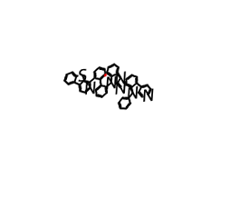 c1ccc(-n2c3cnccc3c3ccc4c(nc5n(-c6ccccc6-c6ccccc6-c6nccc7c6sc6ccccc67)c6ccccc6n45)c32)cc1